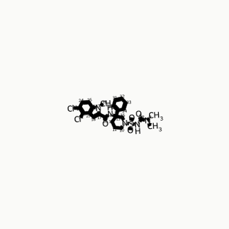 CN(C)C(=O)NS(=O)(=O)N1CCCC(NC(=O)c2cc3c(Cl)c(Cl)ccc3n2C)(c2ccccc2)C1